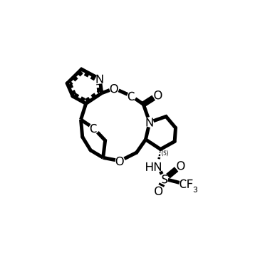 O=C1COc2ncccc2C2CCC(CC2)OCC2[C@@H](NS(=O)(=O)C(F)(F)F)CCCN12